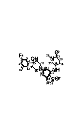 Cc1cc(F)cc(C2(O)CCN(c3nc4c(c(N[C@H]5CCC(=O)N(C)C5)n3)[S+]([O-])CC4)CC2)c1